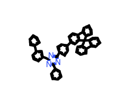 c1ccc(-c2cccc(-c3nc(-c4ccccc4)nc(-c4ccc(-c5ccc6c(c5)C5(c7ccccc7-c7ccccc75)c5ccccc5-6)cc4)n3)c2)cc1